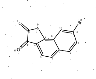 O=C1Nc2c(ccc3ccc(Br)cc23)C1=O